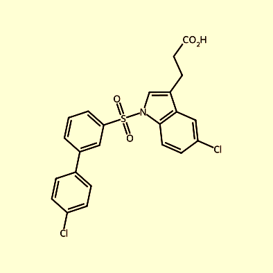 O=C(O)CCc1cn(S(=O)(=O)c2cccc(-c3ccc(Cl)cc3)c2)c2ccc(Cl)cc12